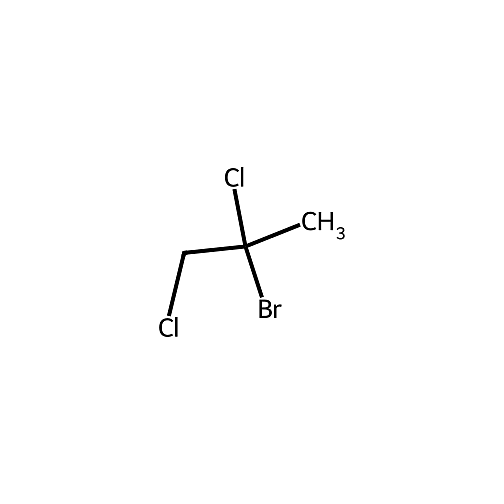 CC(Cl)(Br)CCl